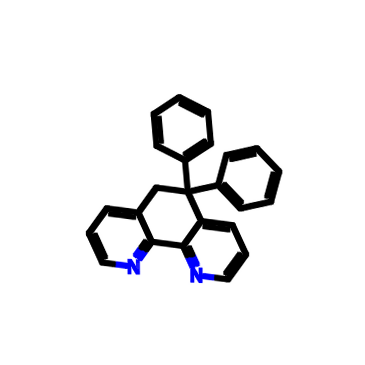 c1ccc(C2(c3ccccc3)Cc3cccnc3-c3ncccc32)cc1